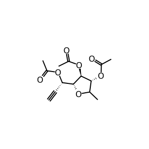 C#C[C@H](OC(C)=O)[C@H]1OC(C)[C@@H](OC(C)=O)[C@@H]1OC(C)=O